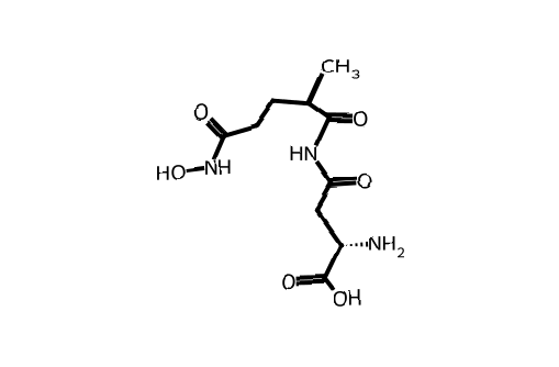 CC(CCC(=O)NO)C(=O)NC(=O)C[C@H](N)C(=O)O